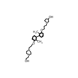 Cc1c(OCCCN2CCN(CCO)CC2)cccc1-c1cccc(OCCCN2CCC(O)C2)c1C